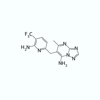 Cc1nc2ncnn2c(N)c1Cc1ccc(C(F)(F)F)c(N)n1